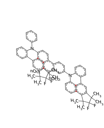 CCCCCCCCc1c(CCCCCCCC)c2cc(N(c3ccccc3)c3ccccc3-c3ccc4c(c3)C(C)(C)C(F)(F)C4(C)C)ccc2c2ccc(N(c3ccccc3)c3ccccc3-c3ccc4c(c3)C(C)(C)C(F)(F)C4(C)C)cc12